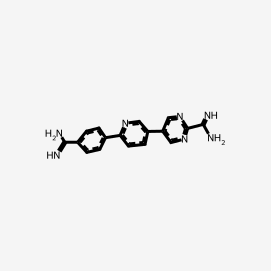 N=C(N)c1ccc(-c2ccc(-c3cnc(C(=N)N)nc3)cn2)cc1